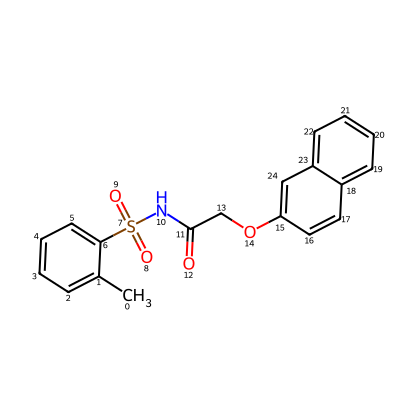 Cc1ccccc1S(=O)(=O)NC(=O)COc1ccc2ccccc2c1